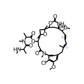 CNC(C)C(=O)N(C)C(C)C(=O)OC1CC(=O)N(C)c2cc(cc(OC)c2Cl)C/C(C)=C/C=C/C(OC)C2(O)CC(OC(=O)N2)C2(C)CC1(C)O2